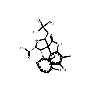 CC(C)(C)C[C@@H]1N[C@@H](C(=O)O)[C@@H](c2cccc(Cl)c2F)C12C(=O)Nc1c2ccc(Cl)c1F